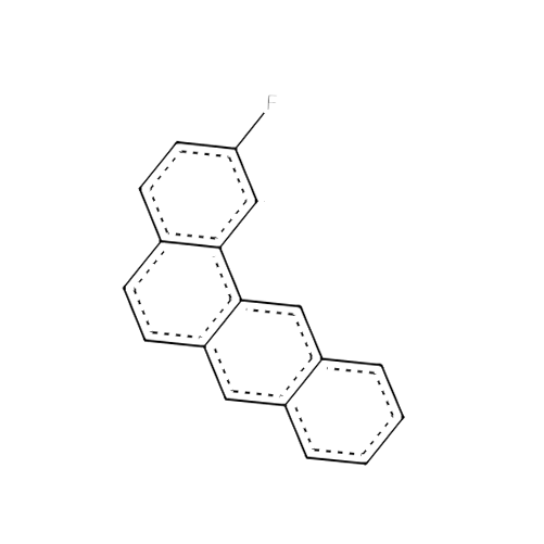 Fc1[c]c2c(cc1)ccc1cc3ccccc3cc12